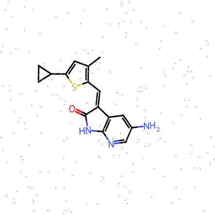 Cc1cc(C2CC2)sc1C=C1C(=O)Nc2ncc(N)cc21